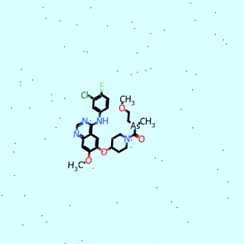 COCC[As](C)C(=O)N1CCC(Oc2cc3c(Nc4ccc(F)c(Cl)c4)ncnc3cc2OC)CC1